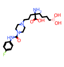 NC(CCCCB(O)O)(CCCN1CCN(C(=O)Nc2ccc(F)cc2)CC1)C(=O)O